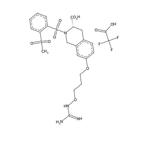 CS(=O)(=O)c1ccccc1S(=O)(=O)N1Cc2cc(OCCCONC(=N)N)ccc2C[C@H]1C(=O)O.O=C(O)C(F)(F)F